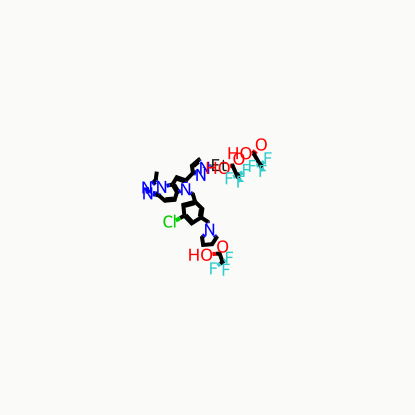 CCn1ccc(-c2cc3c(ccc4nnc(C)n43)n2Cc2cc(Cl)cc(CN3CCCC3)c2)n1.O=C(O)C(F)(F)F.O=C(O)C(F)(F)F.O=C(O)C(F)(F)F